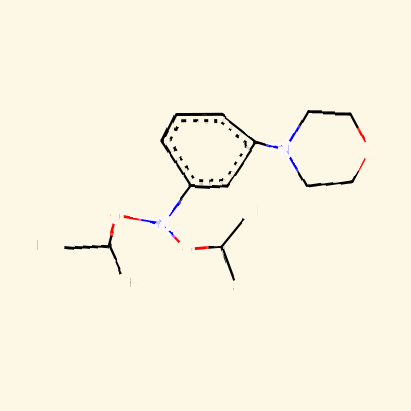 CC(C)ON(OC(C)C)c1cccc(N2CCOCC2)c1